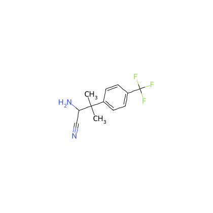 CC(C)(c1ccc(C(F)(F)F)cc1)C(N)C#N